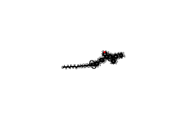 CCCCCCCCCCCCCCCCCC(=O)Oc1ccc(-c2ccc(-c3cc4c(c5ccccc35)C=CC(c3ccccc3)(c3ccc(N5CCCC5)cc3)O4)cc2)cc1